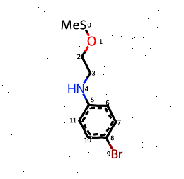 CSOCCNc1ccc(Br)cc1